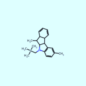 Cc1ccc2c(c1)C1C3C=CC=CC3C(C)C1N2C[Si](C)(C)C